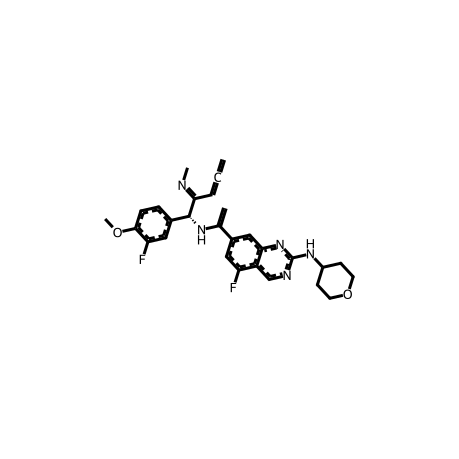 C=C=C/C(=N\C)[C@H](NC(=C)c1cc(F)c2cnc(NC3CCOCC3)nc2c1)c1ccc(OC)c(F)c1